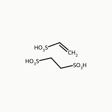 C=CS(=O)(=O)O.O=S(=O)(O)CCS(=O)(=O)O